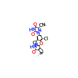 C[C@H]1CCc2c(Oc3c(Cl)cc(-n4nc(C#N)c(=O)[nH]c4=O)cc3Cl)n[nH]c(=O)c21